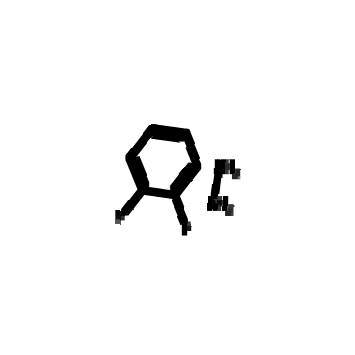 Fc1ccccc1F.NN